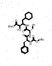 CCCCOC(=O)N[C@@H](Cc1ccccc1)C(=O)N[C@@H](CC(C)C)C(=O)NC(CC1CCCCC1)C(O)C(=O)OC